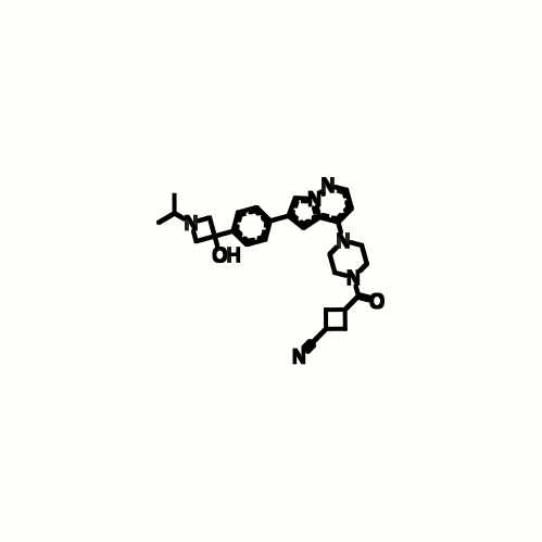 CC(C)N1CC(O)(c2ccc(-c3cc4c(N5CCN(C(=O)C6CC(C#N)C6)CC5)ccnn4c3)cc2)C1